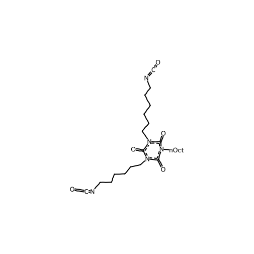 CCCCCCCCn1c(=O)n(CCCCCCN=C=O)c(=O)n(CCCCCCN=C=O)c1=O